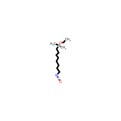 CCO[Si](C)(C)CCCCCCCCN=C=O